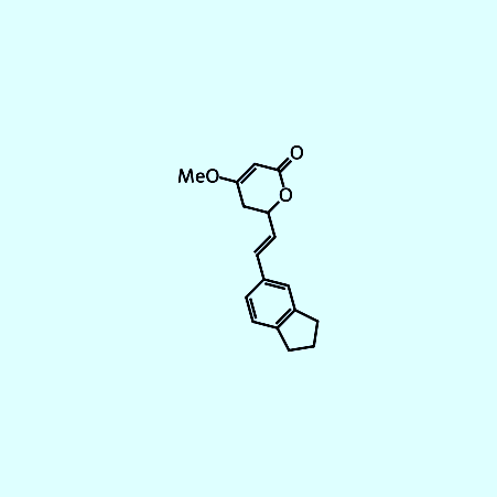 COC1=CC(=O)OC(C=Cc2ccc3c(c2)CCC3)C1